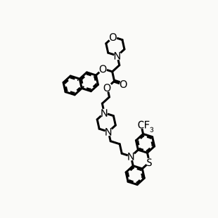 O=C(OCCN1CCN(CCCN2c3ccccc3Sc3ccc(C(F)(F)F)cc32)CC1)C(CN1CCOCC1)Oc1ccc2ccccc2c1